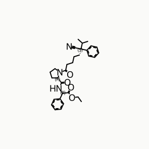 CCOC(=O)[C@H](NC(=O)[C@H]1CCCN1C(=O)CCCC[C@@](C#N)(c1ccccc1)C(C)C)c1ccccc1